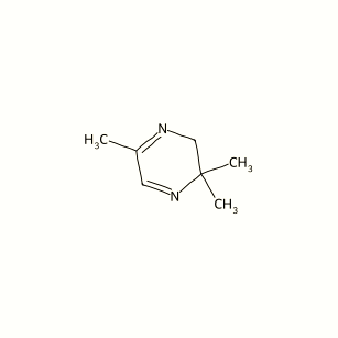 CC1=NCC(C)(C)N=C1